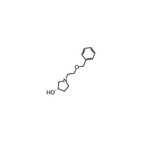 O[C@H]1CCN(CCOCc2ccccc2)C1